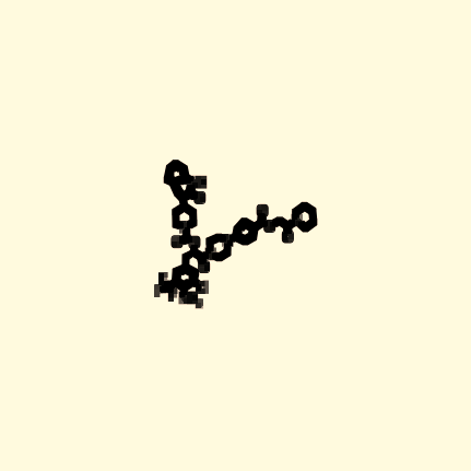 Nc1c(Cl)cc(C[C@@H](OC(=O)N2CCC(c3cc4ccccc4[nH]c3=O)CC2)C(=O)N2CCN(c3ccc(C(=O)OCC(=O)N4CCCCC4)cc3)CC2)cc1C(F)(F)F